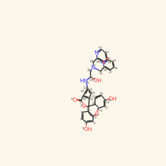 O=C1OC2(c3ccc(O)cc3OC3C=C(O)C=CC32)c2ccc(NC(O)CN(Cc3ccccn3)Cc3ccccn3)cc21